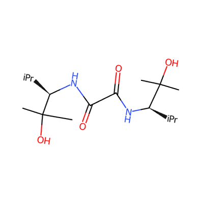 CC(C)[C@@H](NC(=O)C(=O)N[C@H](C(C)C)C(C)(C)O)C(C)(C)O